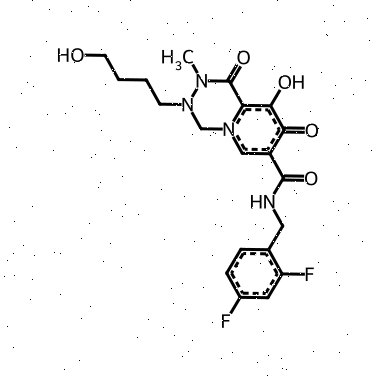 CN1C(=O)c2c(O)c(=O)c(C(=O)NCc3ccc(F)cc3F)cn2CN1CCCCO